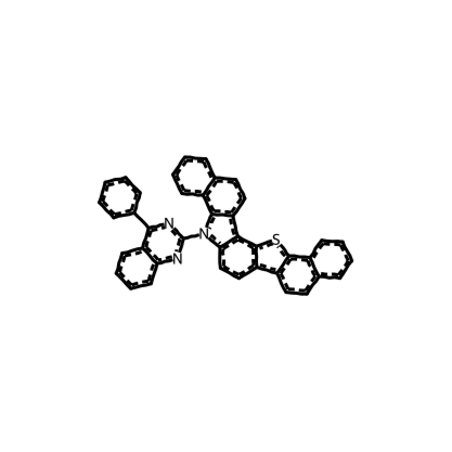 c1ccc(-c2nc(-n3c4ccc5c6ccc7ccccc7c6sc5c4c4ccc5ccccc5c43)nc3ccccc23)cc1